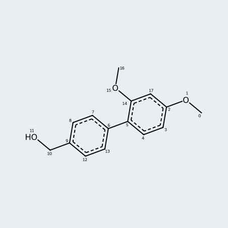 COc1ccc(-c2ccc(CO)cc2)c(OC)c1